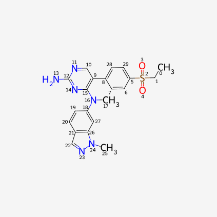 CCS(=O)(=O)c1ccc(-c2cnc(N)nc2N(C)c2ccc3cnn(C)c3c2)cc1